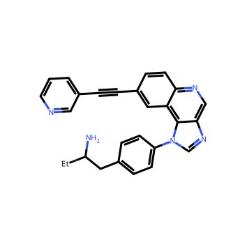 CCC(N)Cc1ccc(-n2cnc3cnc4ccc(C#Cc5cccnc5)cc4c32)cc1